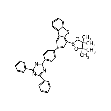 CC1(C)OB(c2cc(-c3ccc(-c4nc(-c5ccccc5)nc(-c5ccccc5)n4)cc3)cc3c2sc2ccccc23)OC1(C)C